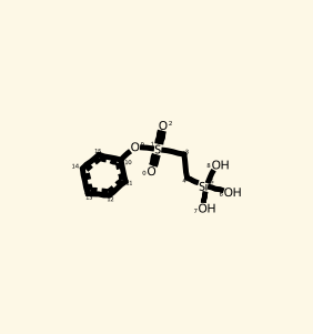 O=S(=O)(CC[Si](O)(O)O)Oc1ccccc1